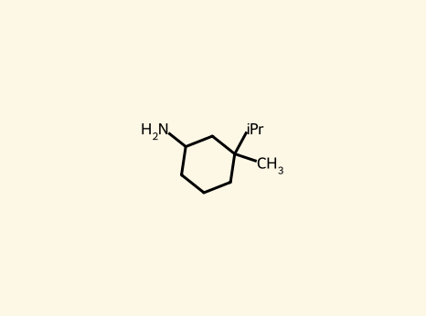 CC(C)C1(C)CCCC(N)C1